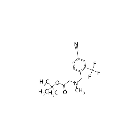 CN(CC(=O)OC(C)(C)C)Cc1ccc(C#N)cc1C(F)(F)F